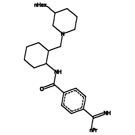 CCCCCCC1CCCN(CC2CCCCC2NC(=O)c2ccc(C(=N)CCC)cc2)C1